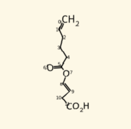 C=CCCCC(=O)OC=CCC(=O)O